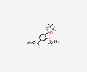 COC(=O)c1ccc(B2OC(C)(C)C(C)(C)O2)c(O[Si](C)(C)C(C)(C)C)c1